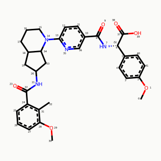 COc1ccc([C@H](NC(=O)c2ccc(N3CCCC4CC(NC(=O)c5cccc(OC)c5C)CC43)nc2)C(=O)O)cc1